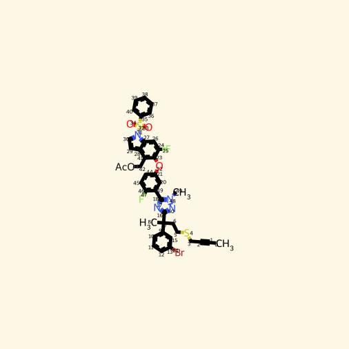 CC#CCSCCC(C)(c1cccc(Br)c1)c1nc(-c2cc(Oc3c(F)cc4c(ccn4S(=O)(=O)c4ccccc4)c3COC(C)=O)ccc2F)n(C)n1